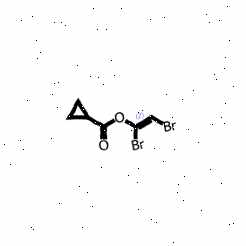 O=C(O/C(Br)=C/Br)C1CC1